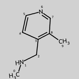 CNCc1ccncc1C